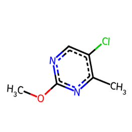 COc1ncc(Cl)c(C)n1